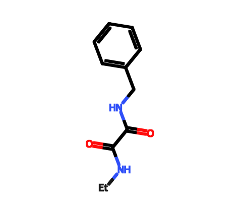 CCNC(=O)C(=O)NCc1ccccc1